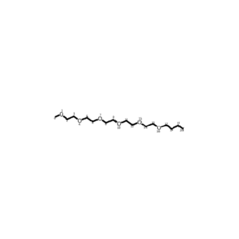 COCCOCCOCCOCCOCCOC[CH]CI